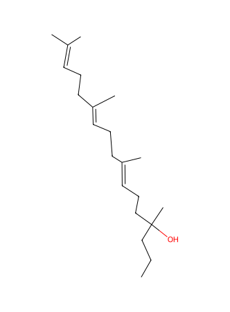 CCCC(C)(O)CC/C=C(\C)CC/C=C(\C)CCC=C(C)C